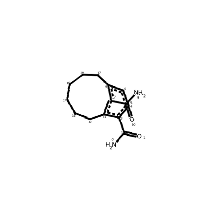 NC(=O)c1ccc2c(C(N)=O)c1CCCCCC2